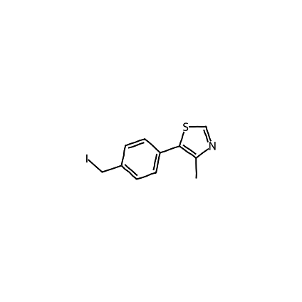 Cc1ncsc1-c1ccc(CI)cc1